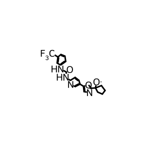 [O]C1(c2ncc(-c3ccc(NC(=O)Nc4cccc(C(F)(F)F)c4)nc3)o2)CCCC1